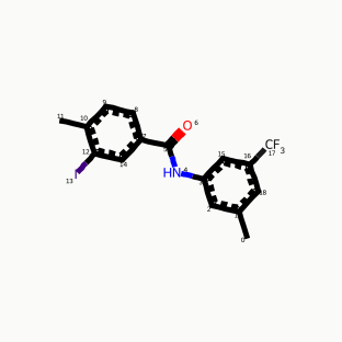 Cc1cc(NC(=O)c2ccc(C)c(I)c2)cc(C(F)(F)F)c1